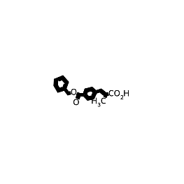 C/C(=C\c1ccc(C(=O)OCc2ccccc2)cc1)C(=O)O